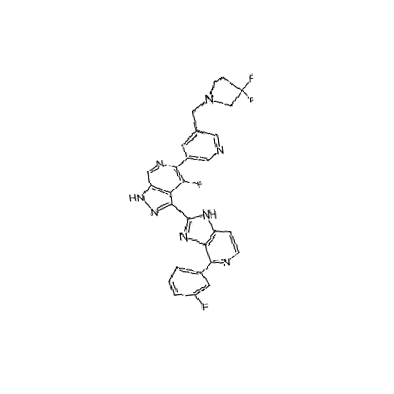 Fc1cccc(-c2nccc3[nH]c(-c4n[nH]c5cnc(-c6cncc(CN7CCC(F)(F)C7)c6)c(F)c45)nc23)c1